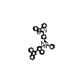 c1ccc(-c2nc(-c3ccc(-c4nc5ccccc5c5c4oc4ccccc45)cc3)nc(-c3ccc(-c4cc5ccccc5c5ccccc45)c4ccccc34)n2)cc1